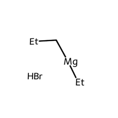 Br.CC[CH2][Mg][CH2]C